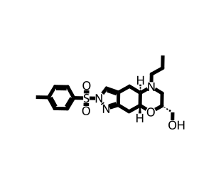 CCCN1C[C@H](CO)O[C@@H]2Cc3nn(S(=O)(=O)c4ccc(C)cc4)cc3C[C@H]21